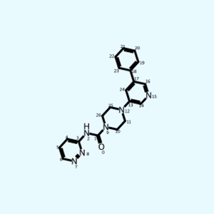 O=C(Nc1cccnn1)N1CCN(c2cncc(-c3ccccc3)c2)CC1